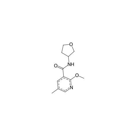 COc1ncc(C)cc1C(=O)NC1CCOC1